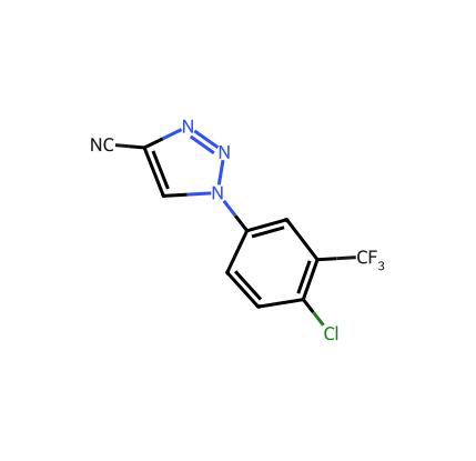 N#Cc1cn(-c2ccc(Cl)c(C(F)(F)F)c2)nn1